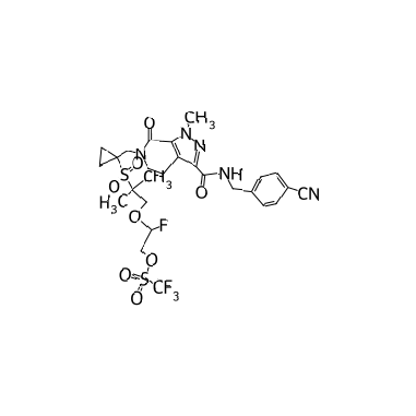 Cn1nc(C(=O)NCc2ccc(C#N)cc2)c2c1C(=O)N(CC1(S(=O)(=O)C(C)(C)COC(F)COS(=O)(=O)C(F)(F)F)CC1)CC2